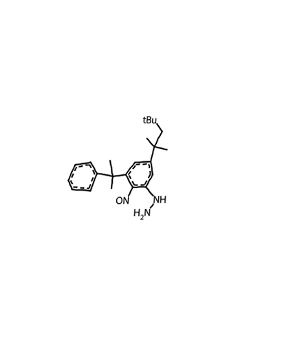 CC(C)(C)CC(C)(C)c1cc(NN)c(N=O)c(C(C)(C)c2ccccc2)c1